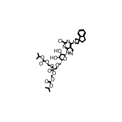 CC(C)OC(=O)OCOP(=O)(COC[C@H]1O[C@@H](n2ncc3c(N4CC5(CCc6ccccc65)C4)nc(Cl)nc32)[C@H](O)[C@@H]1O)OCOC(=O)OC(C)C